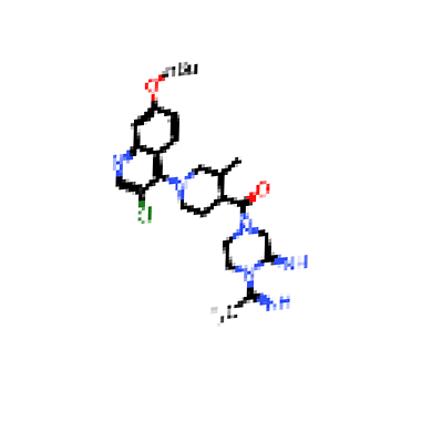 CCCCOc1ccc2c(N3CCC(C(=O)N4CCN(C(=N)C(F)(F)F)C(=N)C4)C(C)C3)c(Cl)cnc2c1